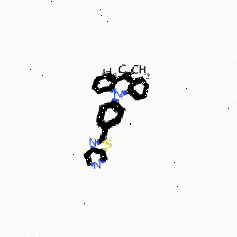 CC1(C)c2ccccc2N(c2ccc(-c3nc4ccncc4s3)cc2)c2ccccc21